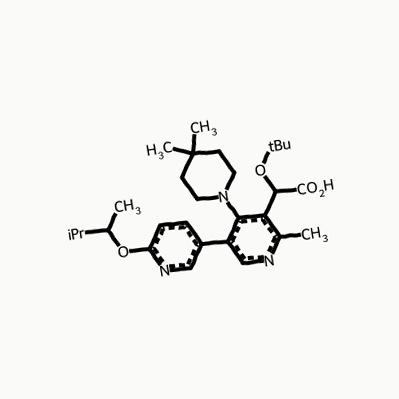 Cc1ncc(-c2ccc(OC(C)C(C)C)nc2)c(N2CCC(C)(C)CC2)c1C(OC(C)(C)C)C(=O)O